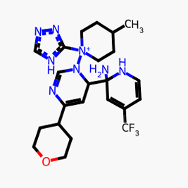 CC1CC[N+](c2nnc[nH]2)(N2C=NC(C3CCOCC3)=CC2C2(N)C=C(C(F)(F)F)C=CN2)CC1